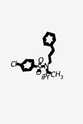 CC(C)[C@H](C)N(CC=Cc1ccccc1)S(=O)(=O)c1ccc(Cl)cc1